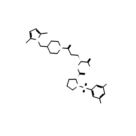 Cc1ccc(C)n1CC1CCN(C(=O)CC[C@H](NC(=O)[C@@H]2CCCN2S(=O)(=O)c2cc(Cl)cc(Cl)c2)C(=O)O)CC1